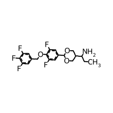 CCC(N)C1COC(c2cc(F)c(OCc3cc(F)c(F)c(F)c3)c(F)c2)OC1